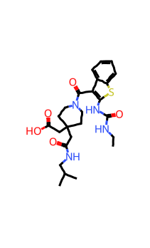 CCNC(=O)Nc1sc2ccccc2c1C(=O)N1CCC(CC(=O)O)(CC(=O)NCC(C)C)CC1